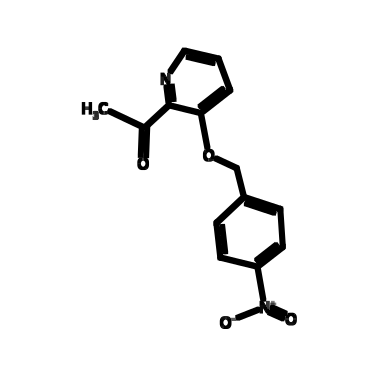 CC(=O)c1ncccc1OCc1ccc([N+](=O)[O-])cc1